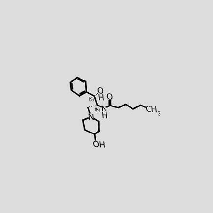 CCCCCC(=O)N[C@H](CN1CCC(O)CC1)[C@@H](O)c1ccccc1